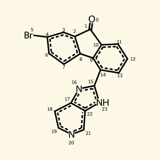 O=C1c2cc(Br)ccc2-c2c1cccc2-c1nc2ccncc2[nH]1